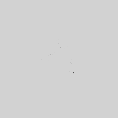 CO[C@H]1/C=C/C[C@H](C)CS(=O)(NC(=O)[C@H]2CCOC2)=NC(=O)c2ccc3c(c2)N(C[C@@H]2CC[C@H]21)C[C@@]1(CCCc2cc(Cl)ccc21)CO3